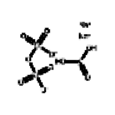 O=S(O)O.[Na+].[Na+].[O]=[Cr](=[O])([O-])[O][Cr](=[O])(=[O])[O-]